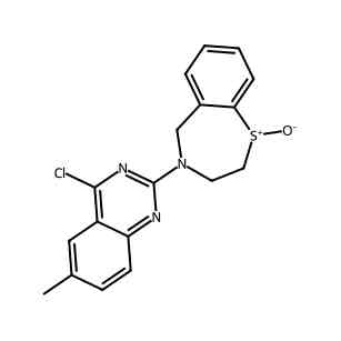 Cc1ccc2nc(N3CC[S+]([O-])c4ccccc4C3)nc(Cl)c2c1